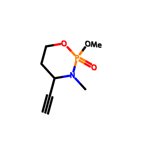 C#CC1CCOP(=O)(OC)N1C